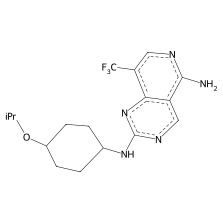 CC(C)OC1CCC(Nc2ncc3c(N)ncc(C(F)(F)F)c3n2)CC1